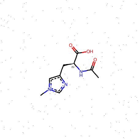 CC(=O)N[C@@H](Cc1cn(C)cn1)C(=O)O